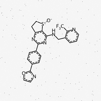 [O-][S@+]1CCc2nc(-c3ccc(-c4ncco4)cc3)nc(NCc3cccnc3C(F)(F)F)c21